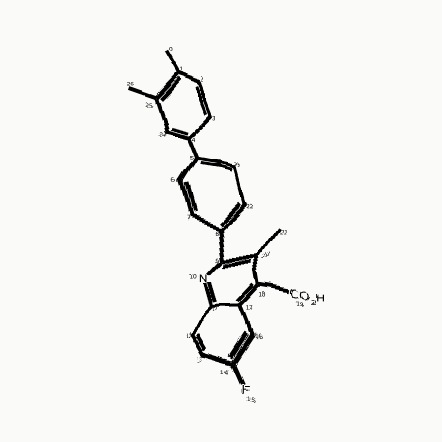 Cc1ccc(-c2ccc(-c3nc4ccc(F)cc4c(C(=O)O)c3C)cc2)cc1C